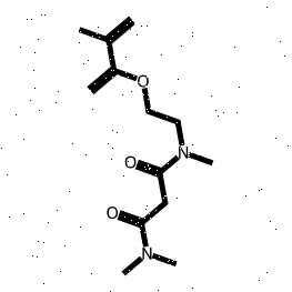 C=C(C)C(=C)OCCN(C)C(=O)CC(=O)N(C)C